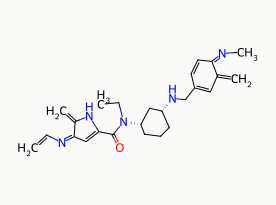 C=C/N=C1/C=C(C(=O)N(CC)[C@H]2CCC[C@@H](NCC3=CC(=C)/C(=N\C)C=C3)C2)NC1=C